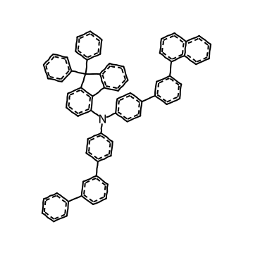 c1ccc(-c2cccc(-c3ccc(N(c4ccc(-c5cccc(-c6cccc7ccccc67)c5)cc4)c4cccc5c4-c4ccccc4C5(c4ccccc4)c4ccccc4)cc3)c2)cc1